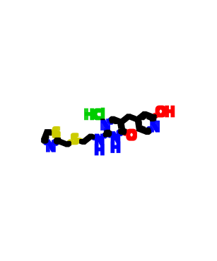 Cl.O=c1[nH]c(NCCSCc2nccs2)ncc1Cc1ccnc(O)c1